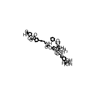 CC(C)(C)[C@H](NC(=O)c1cc2cc(C(F)(F)P(=O)(O)O)ccc2s1)C(=O)N1C[C@@H](OCC(=O)NCCC#Cc2ccc3c(c2)C(=O)N(C2CCC(=O)NC2=O)C3=O)C[C@H]1C(=O)N1CCO[C@H](c2ccccc2)C1